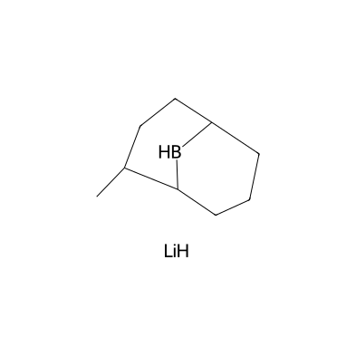 CC1CCC2BC1CCC2.[LiH]